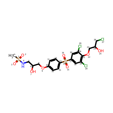 CS(=O)(=O)NCC(O)COc1ccc(S(=O)(=O)c2cc(Cl)c(OCC(O)CCl)c(Cl)c2)cc1